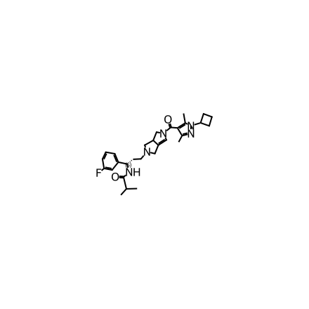 Cc1nn(C2CCC2)c(C)c1C(=O)N1C=C2CN(CC[C@H](NC(=O)C(C)C)c3cccc(F)c3)CC2C1